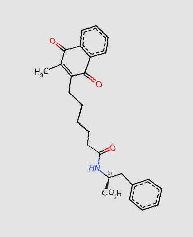 CC1=C(CCCCCC(=O)N[C@@H](Cc2ccccc2)C(=O)O)C(=O)c2ccccc2C1=O